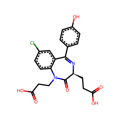 O=C(O)CC[C@@H]1N=C(c2ccc(O)cc2)c2cc(Cl)ccc2N(CCC(=O)O)C1=O